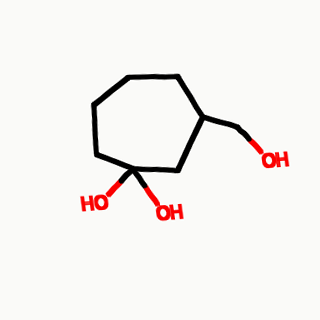 OCC1CCCCC(O)(O)C1